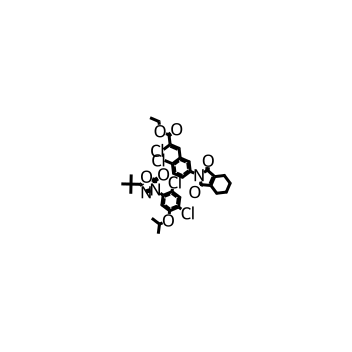 CC(C)Oc1cc(-n2nc(C(C)(C)C)oc2=O)c(Cl)cc1Cl.CCOC(=O)/C(Cl)=C/c1cc(N2C(=O)C3=C(CCCC3)C2=O)ccc1Cl